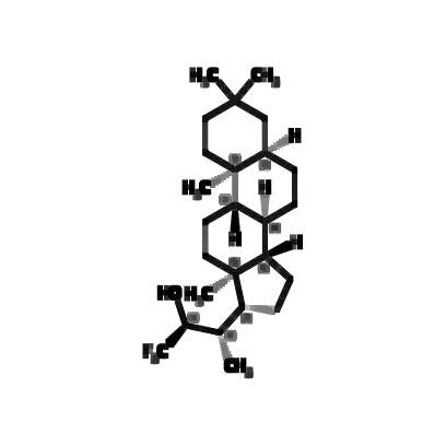 C[C@@H]([C@H]1CC[C@H]2[C@@H]3CC[C@@H]4CC(C)(C)CC[C@]4(C)[C@H]3CC[C@]12C)[C@H](O)C(F)(F)F